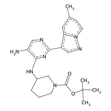 Cc1ccn2ncc(-c3ncc(N)c(NC4CCCN(C(=O)OC(C)(C)C)C4)n3)c2c1